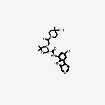 CC1(O)CCN(C(=O)CN2CC(C)(C)OC[C@H]2C(=O)Nc2cc(Cl)cc3c2[nH]c2cnccc23)CC1